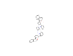 c1cc2c3c(c1)-n1c4ccc5c(oc6ccc7ccccc7c65)c4c4cccc(c41)B3c1cccc3c4c5oc6ccc7ccccc7c6c5ccc4n-2c13